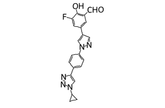 O=Cc1cc(-c2cnn(-c3ccc(-c4cn(C5CC5)nn4)cc3)c2)cc(F)c1O